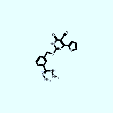 N#Cc1c(-c2cccs2)nc(SCc2cccc(/C(=N/N)NN)c2)[nH]c1=O